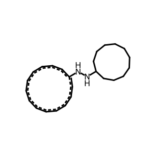 c1ccccccc(NNC2CCCCCCCCCC2)cccccc1